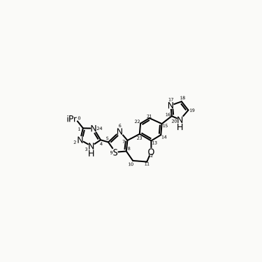 CC(C)c1n[nH]c(-c2nc3c(s2)CCOc2cc(-c4ncc[nH]4)ccc2-3)n1